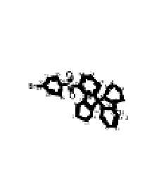 Cc1ccccc1C1(C2C=CC=CC2)C2=C(C=CCC2)c2c1cccc2S(=O)(=O)c1ccc(Br)cc1